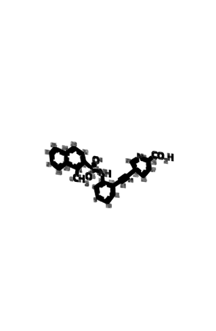 Cc1c(S(=O)(=O)Nc2ccccc2C#Cc2ccc(C(=O)O)nc2)ccc2ccccc12